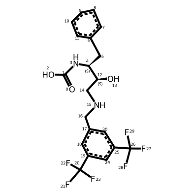 O=C(O)N[C@@H](Cc1ccccc1)[C@@H](O)CNCc1cc(C(F)(F)F)cc(C(F)(F)F)c1